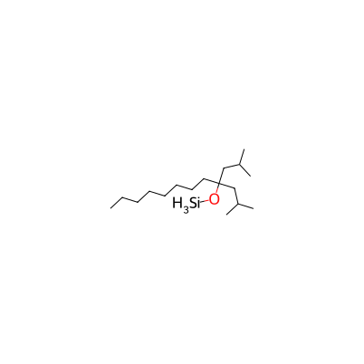 CCCCCCCCC(CC(C)C)(CC(C)C)O[SiH3]